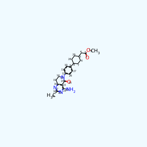 COC(=O)CC1CCC(c2ccc(N3CCc4nc(C)nc(N)c4C3=O)cc2)CC1